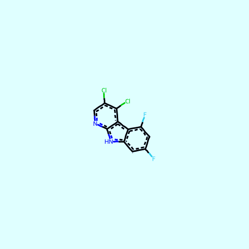 Fc1[c]c2[nH]c3ncc(Cl)c(Cl)c3c2c(F)c1